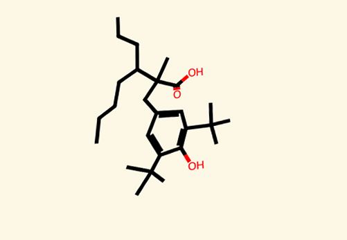 CCCCC(CCC)C(C)(Cc1cc(C(C)(C)C)c(O)c(C(C)(C)C)c1)C(=O)O